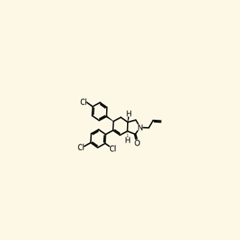 C=CCN1C[C@H]2C[C@H](c3ccc(Cl)cc3)C(c3ccc(Cl)cc3Cl)=C[C@@H]2C1=O